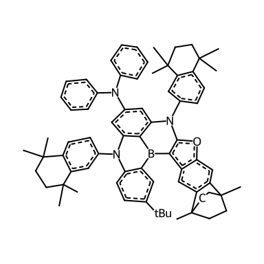 CC(C)(C)c1ccc2c(c1)B1c3c(cc(N(c4ccccc4)c4ccccc4)cc3N(c3ccc4c(c3)C(C)(C)CCC4(C)C)c3oc4cc5c(cc4c31)C1(C)CCC5(C)CC1)N2c1ccc2c(c1)C(C)(C)CCC2(C)C